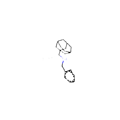 O=C(O)[C@@H](NCc1ccccc1)C12CC3CC(CC(C3)C1)C2